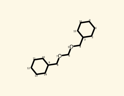 C1CCC(COCOCC2CCCCC2)CC1